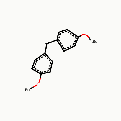 CC(C)(C)Oc1ccc([CH]c2ccc(OC(C)(C)C)cc2)cc1